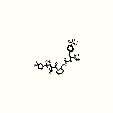 CC(C)(C=C(C#N)C(=O)N1CCCC[C@@H]1COC(=O)NC(Cc1ccc(S(C)(=O)=O)cc1)B(O)O)N1CCC(F)(F)C1